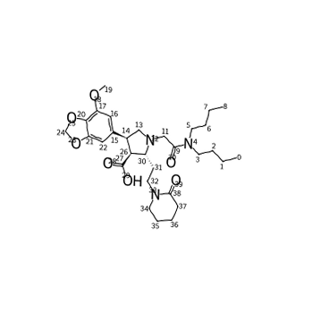 CCCCN(CCCC)C(=O)CN1C[C@H](c2cc(OC)c3c(c2)OCO3)[C@H](C(=O)O)[C@H]1CCN1CCCCC1=O